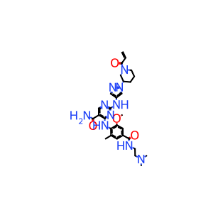 C=CC(=O)N1CCCC(n2cc(Nc3ncc(C(N)=O)c(Nc4c(C)cc(C(=O)NCCN(C)C)cc4OC)n3)cn2)C1